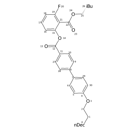 CCCCCCCCCCCCOc1ccc(-c2ccc(C(=O)Oc3cccc(F)c3C(=O)OC[C@@H](C)CC)cc2)cc1